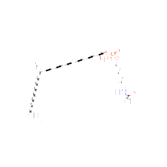 C=C=C=C=C=C=C=C=C(C#CC#CC#CC#CC#CC#COP(=O)(O)OCCCCCCNC(C)=O)CC